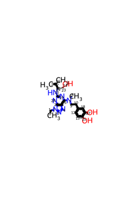 CCn1nnc2c(N(C)CCc3ccc(O)c(O)c3)nc(N[C@@H](CO)C(C)C)nc21